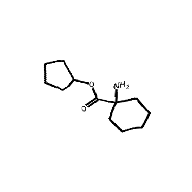 NC1(C(=O)OC2CCCC2)CCCCC1